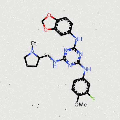 CCN1CCCC1CNc1nc(Nc2ccc(OC)c(F)c2)nc(Nc2ccc3c(c2)OCO3)n1